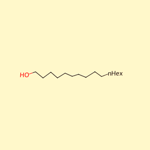 [CH2]CCCCCCCCCCCCCCCO